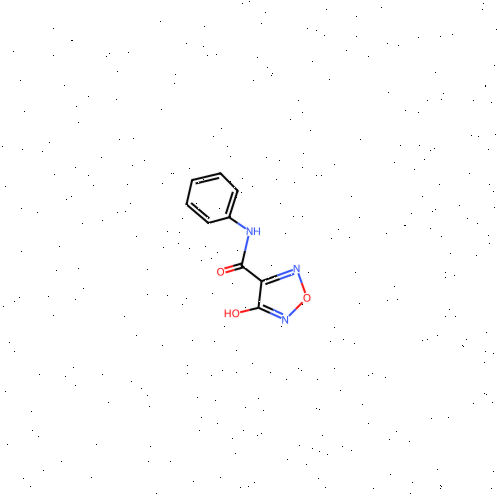 O=C(Nc1ccccc1)c1nonc1O